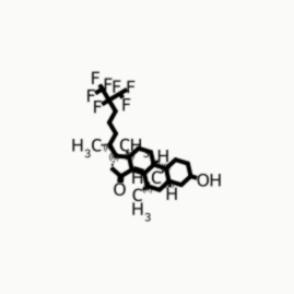 C[C@@H]1C[C@H]2CC(O)CC[C@]2(C)[C@H]2CC[C@@]3(C)C(=C12)C(=O)C[C@@H]3[C@H](C)CCCC(F)(C(F)(F)F)C(F)(F)F